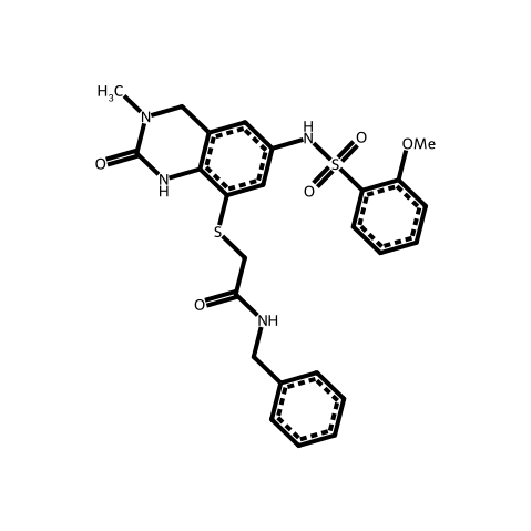 COc1ccccc1S(=O)(=O)Nc1cc2c(c(SCC(=O)NCc3ccccc3)c1)NC(=O)N(C)C2